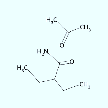 CC(C)=O.CCC(CC)C(N)=O